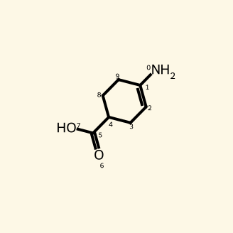 NC1=CCC(C(=O)O)CC1